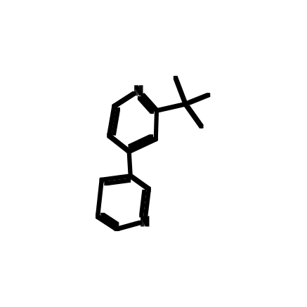 CC(C)(C)c1cc(-c2cccnc2)ccn1